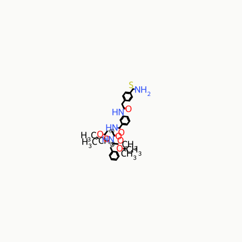 CC(C)(C)OC(=O)C[C@H](NC(=O)c1cccc(NC(=O)Cc2ccc(C(N)=S)cc2)c1)C(=O)N[C@@H](Cc1ccccc1)C(=O)OC(C)(C)C